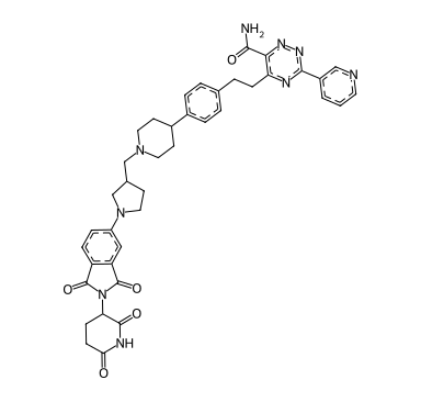 NC(=O)c1nnc(-c2cccnc2)nc1CCc1ccc(C2CCN(CC3CCN(c4ccc5c(c4)C(=O)N(C4CCC(=O)NC4=O)C5=O)C3)CC2)cc1